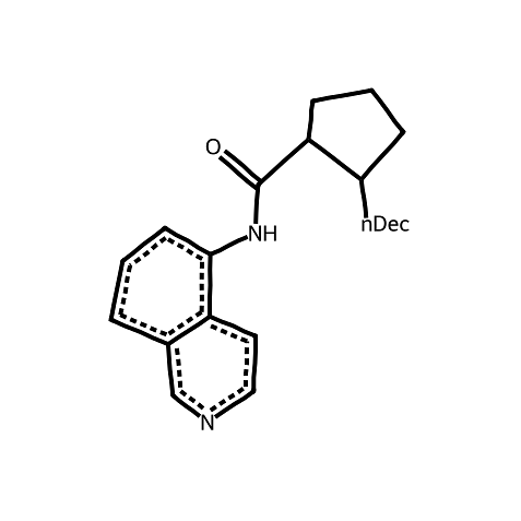 CCCCCCCCCCC1CCCC1C(=O)Nc1cccc2cnccc12